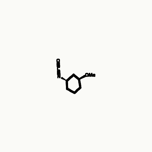 CO[C@H]1CCC[C@H](N=C=O)C1